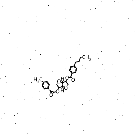 CCCCc1ccc(C(=O)OC2CO[C@@H]3[C@@H](OC4OC4c4ccc(C)cc4)CO[C@H]23)cc1